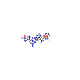 CCC(=O)Nc1cncc(-c2ccc3[nH]nc(-c4nc5c(-c6cc(F)cc(C(N)S(C)(=O)=O)c6)nccc5[nH]4)c3n2)c1